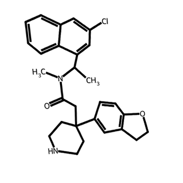 CC(c1cc(Cl)cc2ccccc12)N(C)C(=O)CC1(c2ccc3c(c2)CCO3)CCNCC1